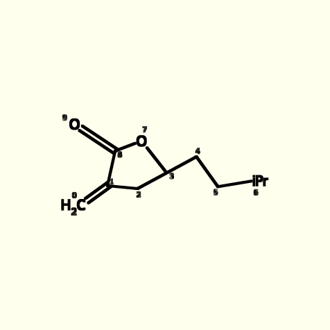 C=C1CC(CCC(C)C)OC1=O